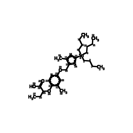 CCC[CH2][Sn]([CH2]CCC)([CH2]CCC)[c]1cc(C)c(COc2ccc(OC(CC)C(=O)O)c(C)c2)s1